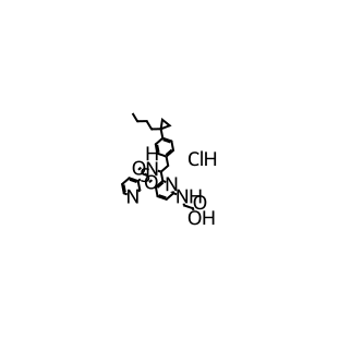 CCCCC1(c2ccc(CC(NS(=O)(=O)c3cccnc3)c3cccc(NCC(=O)O)n3)cc2)CC1.Cl